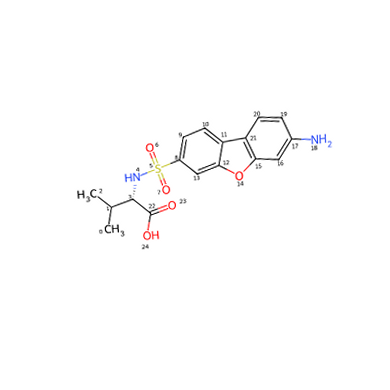 CC(C)[C@H](NS(=O)(=O)c1ccc2c(c1)oc1cc(N)ccc12)C(=O)O